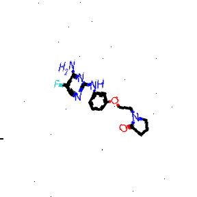 Nc1nc(Nc2cccc(OCCN3CCCC3=O)c2)ncc1F